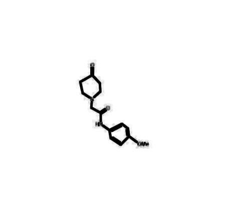 COc1ccc(NC(=O)CN2CCC(=O)CC2)cc1